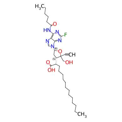 C#CC1(CO)O[C@@H](n2cnc3c(NC(=O)CCCCC)nc(F)nc32)C[C@H]1C(CCCCCCCCCCCCC)C(=O)O